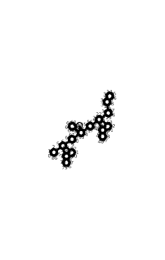 c1ccc(-c2ccc(-c3ccc(-c4ccc(-c5ccc(-c6ccc(-c7cccc(-c8ccc9ccccc9c8)c7)c7c6-c6cc8ccccc8c8cccc-7c68)cc5)c5oc6ccccc6c45)cc3)c3c2-c2cc4ccccc4c4cccc-3c24)cc1